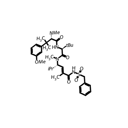 CN[C@H](C(=O)N[C@H](C(=O)N(C)[C@H](C=C(C)C(=O)NS(=O)(=O)Cc1ccccc1)C(C)C)C(C)(C)C)C(C)(C)c1cccc(OC)c1